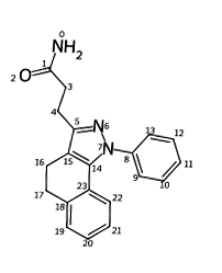 NC(=O)CCc1nn(-c2ccccc2)c2c1CCc1ccccc1-2